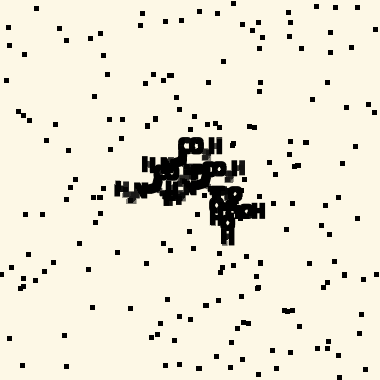 CC(C)[C@H](N)C(=O)O.CC(C)[C@H](N)C(=O)O.CC(C)[C@H](N)C(=O)O.O=P(O)(O)O